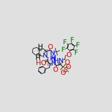 CC(C)(C)NC(=O)[C@@H]1C[C@@H]2CCCC[C@@H]2CN1C[C@@H](O)[C@H](Cc1ccccc1)NC(=O)[C@@H](NC(=O)COc1c(F)c(F)c(F)c(F)c1F)C(C)(C)S(C)(=O)=O